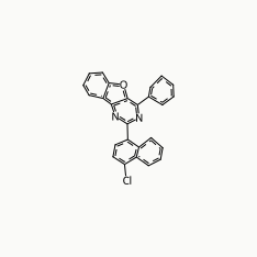 Clc1ccc(-c2nc(-c3ccccc3)c3oc4ccccc4c3n2)c2ccccc12